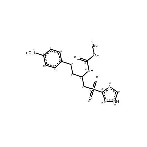 CCCCCCCCc1ccc(CCC(CS(=O)(=O)c2nc[nH]n2)NC(=O)OC(C)(C)C)cc1